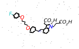 O=C(O)CCCn1cc(CC(=O)O)c2c(/C=C/c3ccc(OCCCCOc4ccc(F)cc4)cc3)cccc21